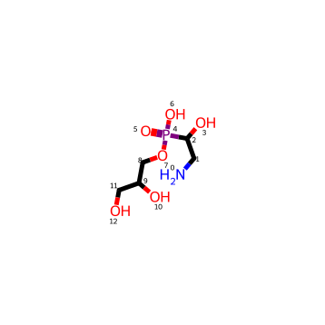 NCC(O)P(=O)(O)OCC(O)CO